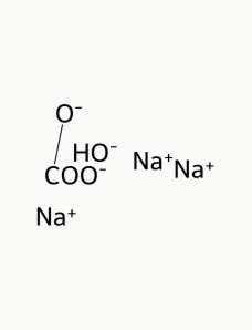 O=C([O-])[O-].[Na+].[Na+].[Na+].[OH-]